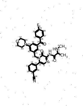 CNC(C)C(=O)Nc1ncc(-c2cccc(C#N)c2)n(Cc2cc(C(=O)c3ccc(F)cc3)cc(N3CCOCC3)c2)c1=O